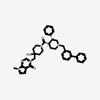 Cn1ccc2c(=O)n(CC3(O)CCN(C(=O)[C@@H]4CCN(Cc5cccc(-c6ccccc6)c5)C[C@H]4c4ccccc4)CC3)cnc21